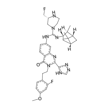 COc1ccc(CCn2c(-c3nnc[nH]3)nc3cc(NC(=N[C@H]4C[C@H]5C[C@@H]([C@@H]4C)C5(C)C)N4CCN[C@@H](CF)C4)ccc3c2=O)c(F)c1